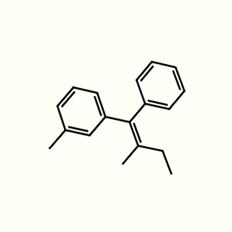 CCC(C)=C(c1ccccc1)c1cccc(C)c1